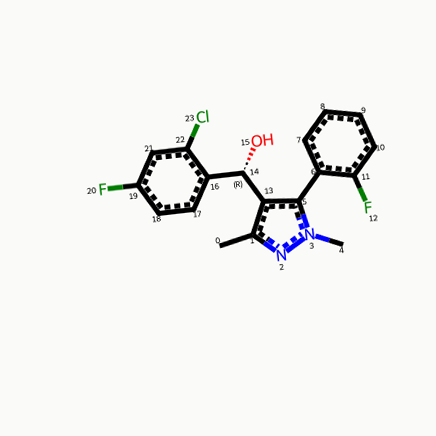 Cc1nn(C)c(-c2ccccc2F)c1[C@@H](O)c1ccc(F)cc1Cl